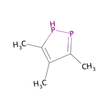 Cc1p[pH]c(C)c1C